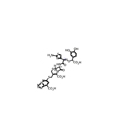 Nc1nc(/C(=N/OC(C(=O)O)c2ccc(O)c(O)c2)C(=O)N[C@@H]2C(=O)N3C(C(=O)O)=C(CSc4cc(C(=O)O)c5nnnn5n4)CS[C@H]23)cs1